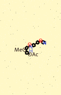 COc1ccc(C(=O)Nc2ccc(-c3ccc(OC4CCN(C)CC4)cc3)cc2)cc1-c1cccc(OC(C)=O)c1